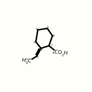 CC=C1CCCCC1C(=O)O